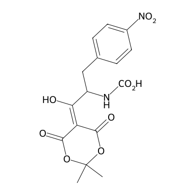 CC1(C)OC(=O)C(=C(O)C(Cc2ccc([N+](=O)[O-])cc2)NC(=O)O)C(=O)O1